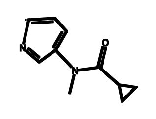 CN(C(=O)C1CC1)c1cc[c]nc1